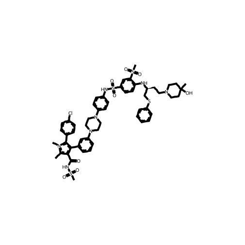 Cc1c(C(=O)NS(C)(=O)=O)c(-c2cccc(N3CCN(c4ccc(NS(=O)(=O)c5ccc(N[C@@H](CCN6CCC(C)(O)CC6)CSc6ccccc6)c(S(C)(=O)=O)c5)cc4)CC3)c2)c(-c2ccc(Cl)cc2)n1C